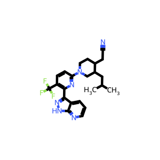 CC(C)CC1CN(c2ccc(C(F)(F)F)c(-c3n[nH]c4ncccc34)n2)CCC1CC#N